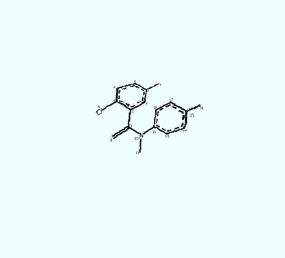 C=C(c1cc(C)ccc1Cl)N(C)c1ccc(C)cc1